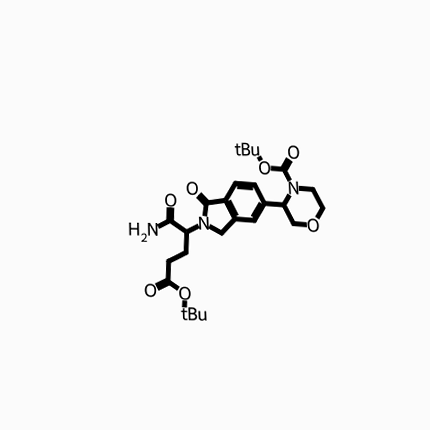 CC(C)(C)OC(=O)CCC(C(N)=O)N1Cc2cc(C3COCCN3C(=O)OC(C)(C)C)ccc2C1=O